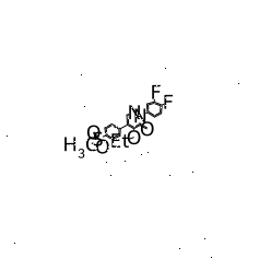 CCOc1c(-c2ccc(S(C)(=O)=O)cc2)cnn(-c2ccc(F)c(F)c2)c1=O